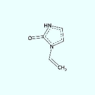 C=Cn1cc[nH]c1=O